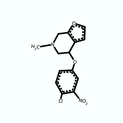 CN1Cc2occc2C(Oc2ccc(Cl)c([N+](=O)[O-])c2)C1